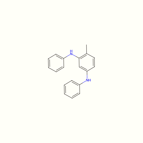 Cc1ccc(Nc2ccccc2)cc1Nc1ccccc1